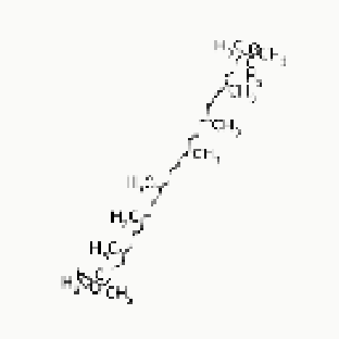 COC(C)(C)CCC/C(C)=C/C=C/C(C)=C/C=C/C(C)=C/C=C/C=C(C)/C=C/C=C(C)/C=C/C=C(\C)CCCC(C)(C)OC